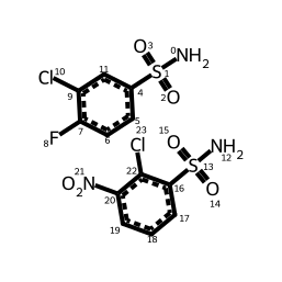 NS(=O)(=O)c1ccc(F)c(Cl)c1.NS(=O)(=O)c1cccc([N+](=O)[O-])c1Cl